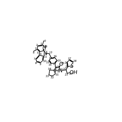 Cc1cc(C)c2c3ccccc3n(Cc3ccc(C(C(=O)NC(CO)c4cccs4)C4CCCC4)cc3)c2n1